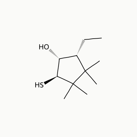 CC[C@H]1[C@@H](O)[C@H](S)C(C)(C)C1(C)C